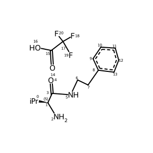 CC(C)[C@H](N)C(=O)NCCc1ccccc1.O=C(O)C(F)(F)F